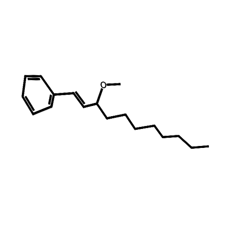 CCCCCCCC[C](/C=C/c1ccccc1)OC